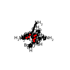 CCC1C[C@H](n2ccc(N)nc2=O)O[C@@H]1COP(=S)(OCCOCCOCCN)OC1C[C@H](n2cc(C)c(=O)[nH]c2=O)O[C@@H]1COP(=O)(S)OC1C[C@H](n2cnc3c(=O)[nH]c(N)nc32)O[C@@H]1COP(=O)(S)OC1C[C@H](n2ccc(N)nc2=O)O[C@@H]1COP(=O)(S)OC1C[C@H](n2cc(Br)c(=O)[nH]c2=O)O[C@@H]1CO